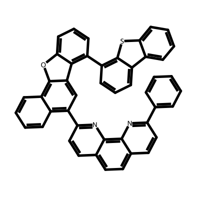 c1ccc(-c2ccc3ccc4ccc(-c5cc6c(oc7cccc(-c8cccc9c8sc8ccccc89)c76)c6ccccc56)nc4c3n2)cc1